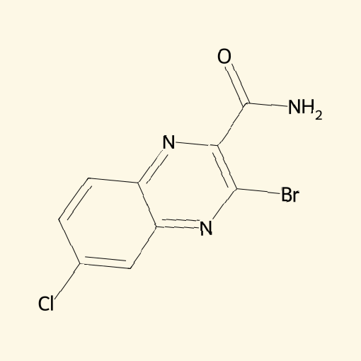 NC(=O)c1nc2ccc(Cl)cc2nc1Br